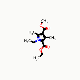 CCOC(=O)c1c(C)c(C(=O)OC)c(C)n1CC